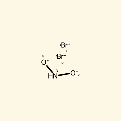 [Br+].[Br+].[O-]N[O-]